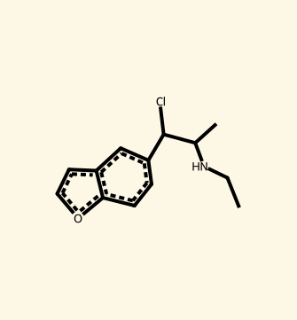 CCNC(C)C(Cl)c1ccc2occc2c1